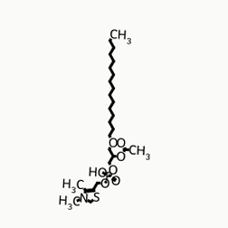 CCCCCCCCCCCCCCCCOCC(COP(=O)(O)OCC1=C(C)N(C)CS1)OC(C)=O